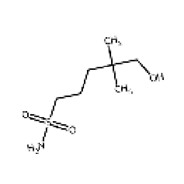 CC(C)(CO)CCCS(N)(=O)=O